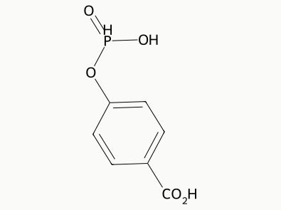 O=C(O)c1ccc(O[PH](=O)O)cc1